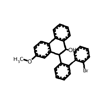 COc1ccc2c(c1)C(c1ccccc1-c1ccccc1Br)C(O)c1ccccc1-2